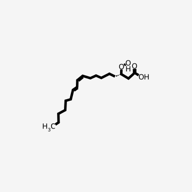 CCCCCC/C=C/C=C\CCCCC[C@@H](CC(=O)O)OO